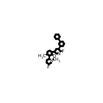 Cc1ccc2c(oc3nc(F)c(-c4cccc(-c5ccccc5)c4)cc32)c1-c1ccc(F)c[n+]1C